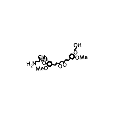 COc1cc(/C=C/C(=O)CC(=O)/C=C/c2ccc(OC(=O)N(C)CCN)c(OC)c2)ccc1OCCO